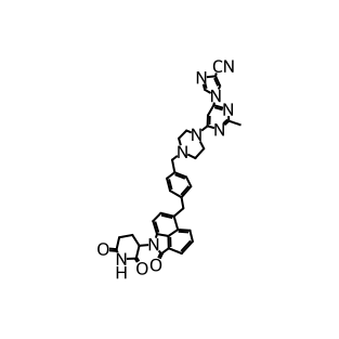 Cc1nc(N2CCN(Cc3ccc(Cc4ccc5c6c(cccc46)C(=O)N5C4CCC(=O)NC4=O)cc3)CC2)cc(-n2cnc(C#N)c2)n1